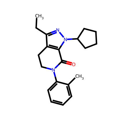 CCc1nn(C2CCCC2)c2c1CCN(c1ccccc1C)C2=O